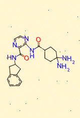 NC1(N)CCC(C(=O)Nc2nccnc2C(=O)NC2Cc3ccccc3C2)CC1